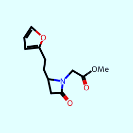 COC(=O)CN1C(=O)CC1CCc1ccco1